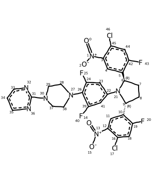 O=[N+]([O-])c1cc([C@H]2CC[C@H](c3cc([N+](=O)[O-])c(Cl)cc3F)N2c2cc(F)c(N3CCN(c4ncccn4)CC3)c(F)c2)c(F)cc1Cl